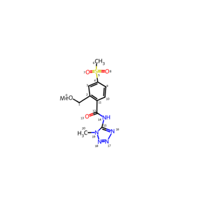 COCc1cc(S(C)(=O)=O)ccc1C(=O)Nc1nnnn1C